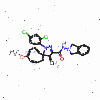 C=C1C(C(=O)NN2Cc3ccccc3C2)=NN(c2ccc(Cl)cc2Cl)C12/C=C/C=C(OC)\C=C/C2